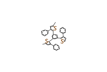 Cc1cc(-c2ccccc2)c(-c2cc(-c3sccc3-c3ccccc3)cc(-c3sc(C)cc3-c3ccccc3)c2)s1